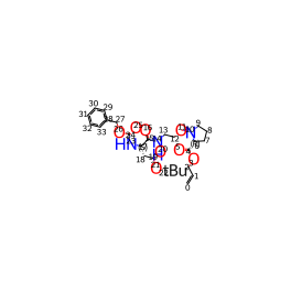 C=CCOC(=O)[C@H]1CCCN1OCCNC(=O)[C@H](CC(=O)OC(C)(C)C)NC(=O)OCc1ccccc1